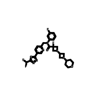 O=C(N(Cc1ccc(-c2nnc(C(F)F)o2)cn1)c1cccc(F)c1)C1(F)CN(C2CN(C3CCOCC3)C2)C1